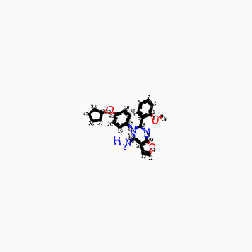 COc1ccccc1C1N=c2occc2=C(N)N1c1ccc(OC2CCCC2)cc1